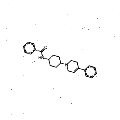 O=C(NC1CCC(N2CC=C(c3ccccc3)CC2)CC1)c1ccccc1